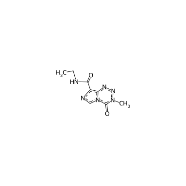 CCNC(=O)c1ncn2c(=O)n(C)nnc12